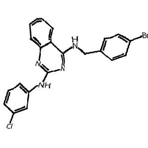 Clc1cccc(Nc2nc(NCc3ccc(Br)cc3)c3ccccc3n2)c1